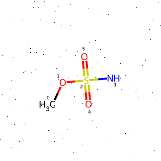 COS([NH])(=O)=O